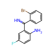 N=C(c1cc(F)ccc1N)c1ccccc1Br